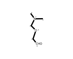 CN(C)COCC=O